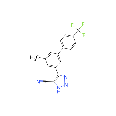 Cc1cc(-c2ccc(C(F)(F)F)cc2)cc(-c2nn[nH]c2C#N)c1